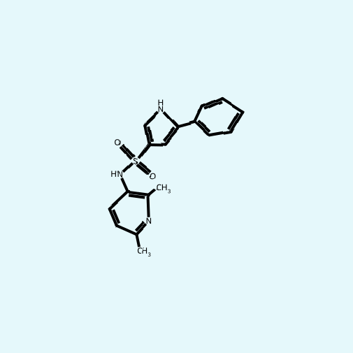 Cc1ccc(NS(=O)(=O)c2c[nH]c(-c3ccccc3)c2)c(C)n1